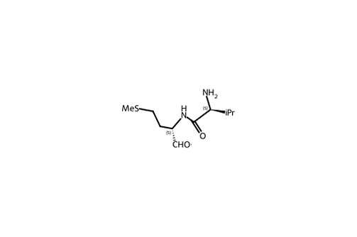 CSCC[C@@H]([C]=O)NC(=O)[C@@H](N)C(C)C